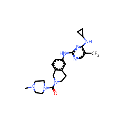 CN1CCN(C(=O)N2CCc3cc(Nc4ncc(C(F)(F)F)c(NC5CC5)n4)ccc3C2)CC1